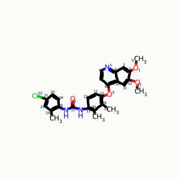 COc1cc2nccc(Oc3ccc(NC(=O)Nc4ccc(Cl)cc4C)c(C)c3C)c2cc1OC